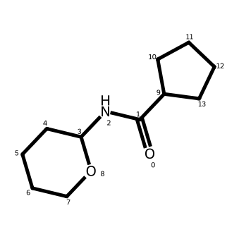 O=C(NC1CCCCO1)C1CCCC1